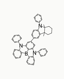 CC12CCCCC1(C)N(c1ccccc1)c1ccc(-c3cc4c5c(c3)N(c3ccccc3)c3ccccc3B5c3ccccc3N4c3ccccc3)cc12